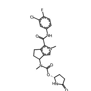 CN(C(=O)O[C@@H]1CCC(=O)N1)C1CCc2c1cn(C)c2C(=O)Nc1ccc(F)c(Cl)c1